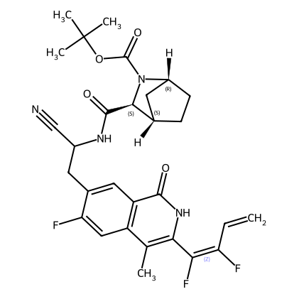 C=C/C(F)=C(/F)c1[nH]c(=O)c2cc(CC(C#N)NC(=O)[C@@H]3[C@H]4CC[C@H](C4)N3C(=O)OC(C)(C)C)c(F)cc2c1C